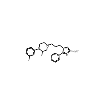 CCCc1cc(CCCN2CCN(c3cccc(C)c3)C(C)C2)n(-c2ccccc2)n1